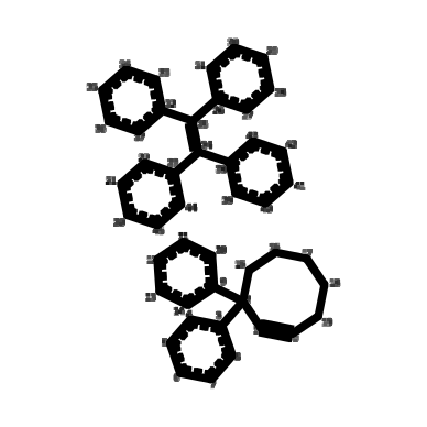 C1#CC(c2ccccc2)(c2ccccc2)CCCCC1.c1ccc(C(=C(c2ccccc2)c2ccccc2)c2ccccc2)cc1